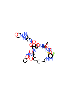 C=C[C@@H]1C[C@@]12NC(=O)[C@@H]1C[C@@H](OC(=O)N3Cc4cnc(N5CCOCC5)nc4C3)CN1C(=O)[C@@H](NC(=O)OC1CCCC1)CCCCCCCNc1ccc(F)cc1S(=O)(=O)NC2=O